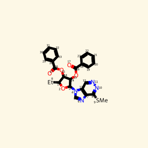 CCC1OC(n2cnc3c(SC)nncc32)C(OC(=O)c2ccccc2)C1OC(=O)c1ccccc1